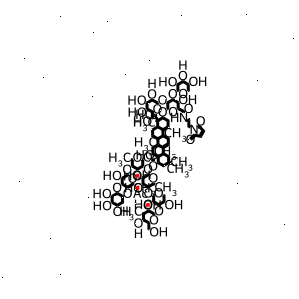 CC(=O)OC1C(C)OC(OC2C(C)OC(OC(=O)[C@]34CCC(C)(C)CC3C3=CCC5[C@@]6(C)CC[C@H](OC7OC(C(=O)NCCN8C(=O)C=CC8=O)C(O)C(OC8OCC(O)C(O)C8O)C7OC7OC(CO)C(O)C(O)C7O)[C@@](C)(CO)C6CC[C@@]5(C)[C@]3(C)C[C@H]4O)C(OC3OC(C)C(OC4OCC(O)C(OC5OC(CO)C(O)C(C)C5O)C4O)C(O)C3O)C2O)C(O)C1OC1CCC(O)C(O)C1O